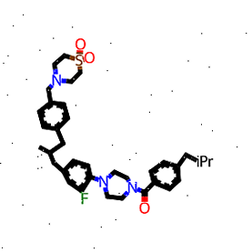 CC(C)Cc1ccc(C(=O)N2CCN(c3ccc(CC(C)Cc4ccc(CN5CCS(=O)(=O)CC5)cc4)cc3F)CC2)cc1